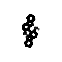 Cc1ccc2c(oc3ccccc32)c1-c1c(C)ccc2c1oc1ccccc12